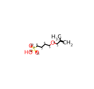 C=C(C)COCCCCS(=O)(=O)O